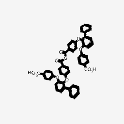 O=C(O)c1ccc(Oc2cccc(-c3ccccc3)c2Oc2ccc(C(=O)OC(=O)c3ccc(Oc4c(Oc5ccc(C(=O)O)cc5)cccc4-c4ccccc4)cc3)cc2)cc1